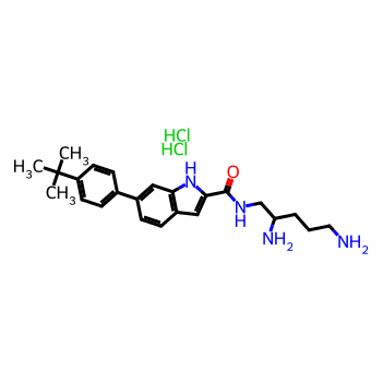 CC(C)(C)c1ccc(-c2ccc3cc(C(=O)NCC(N)CCCN)[nH]c3c2)cc1.Cl.Cl